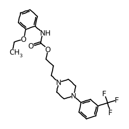 CCOc1ccccc1NC(=O)OCCCN1CCN(c2cccc(C(F)(F)F)c2)CC1